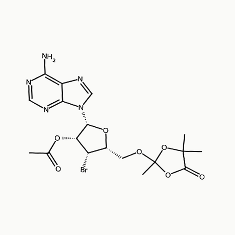 CC(=O)O[C@H]1[C@@H](Br)[C@@H](COC2(C)OC(=O)C(C)(C)O2)O[C@H]1n1cnc2c(N)ncnc21